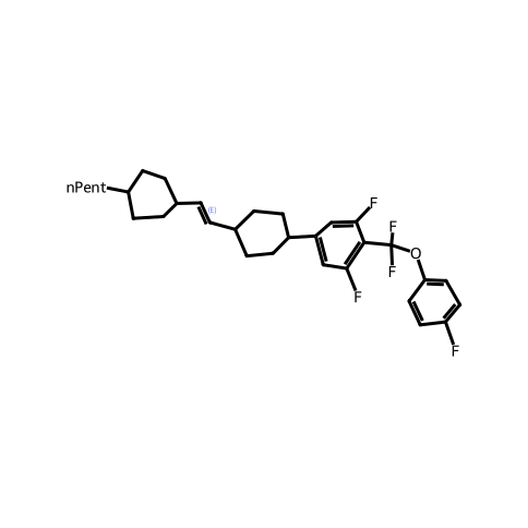 CCCCCC1CCC(/C=C/C2CCC(c3cc(F)c(C(F)(F)Oc4ccc(F)cc4)c(F)c3)CC2)CC1